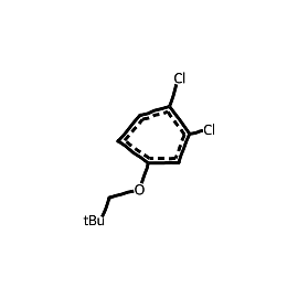 CC(C)(C)COc1ccc(Cl)c(Cl)c1